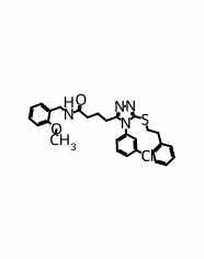 COc1ccccc1CNC(=O)CCCc1nnc(SCCc2ccccc2)n1-c1cccc(Cl)c1